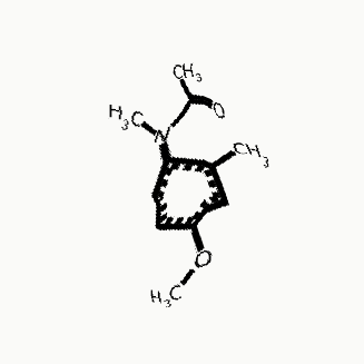 COc1ccc(N(C)C(C)=O)c(C)c1